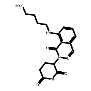 O=C(O)CCCCNc1cccc2cnn(C3CCC(=O)NC3=O)c(=O)c12